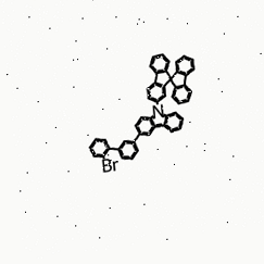 Brc1ccccc1-c1cccc(-c2ccc3c(c2)c2ccccc2n3-c2ccc3c(c2)C2(c4ccccc4-c4ccccc42)c2ccccc2-3)c1